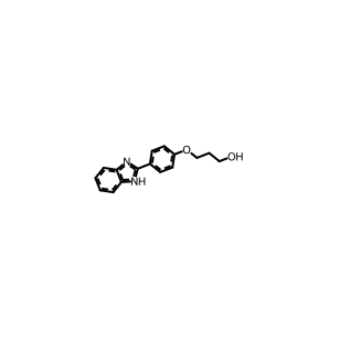 OCCCOc1ccc(-c2nc3ccccc3[nH]2)cc1